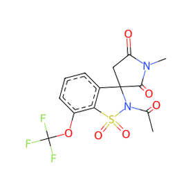 CC(=O)N1C2(CC(=O)N(C)C2=O)c2cccc(OC(F)(F)F)c2S1(=O)=O